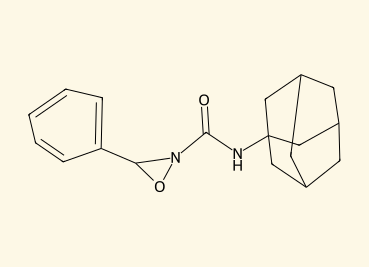 O=C(NC12CC3CC(CC(C3)C1)C2)N1OC1c1ccccc1